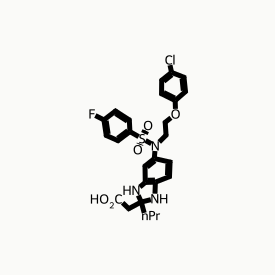 CCCC1(CC(=O)O)Nc2ccc(N(CCOc3ccc(Cl)cc3)S(=O)(=O)c3ccc(F)cc3)cc2N1